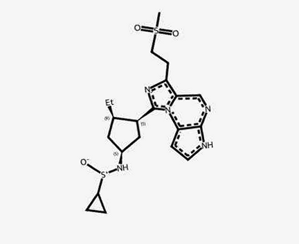 CC[C@@H]1C[C@H](N[S+]([O-])C2CC2)C[C@@H]1c1nc(CCS(C)(=O)=O)c2cnc3[nH]ccc3n12